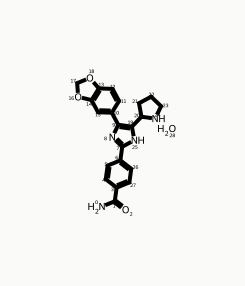 NC(=O)c1ccc(-c2nc(-c3ccc4c(c3)OCO4)c(C3CCCN3)[nH]2)cc1.O